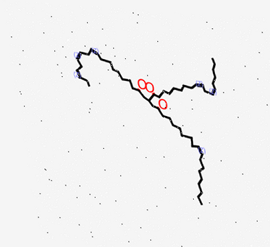 CC/C=C\C/C=C\C/C=C\CCCCCCCC(=O)CC(CC(=O)CCCCCCC/C=C\CCCCCCCC)C(=O)CCCCCCC/C=C\C/C=C\CCCCC